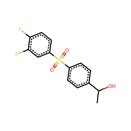 CC(O)c1ccc(S(=O)(=O)c2ccc(F)c(F)c2)cc1